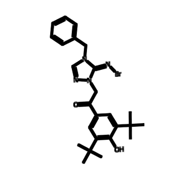 CC(C)(C)c1cc(C(=O)Cn2ncn(Cc3ccccc3)/c2=N/Br)cc(C(C)(C)C)c1O